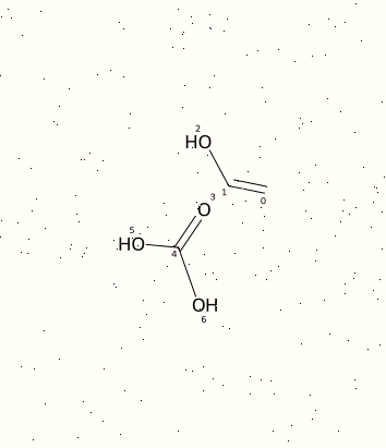 C=CO.O=C(O)O